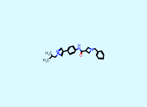 CC(C)Cn1cc(-c2ccc(NC(=O)C3CN(Cc4ccccc4)C3)cc2)cn1